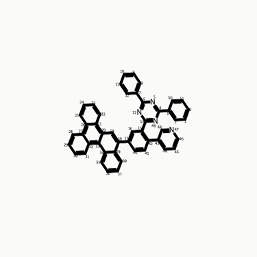 c1ccc(-c2nc(-c3ccccc3)nc(-c3cc(-c4cc5c6ccccc6c6ccccc6c5c5ccccc45)ccc3-c3cccnc3)n2)cc1